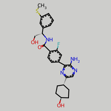 CSc1cccc([C@@H](CO)NC(=O)c2ccc(-c3nc([C@H]4CC[C@H](O)CC4)cnc3N)cc2F)c1